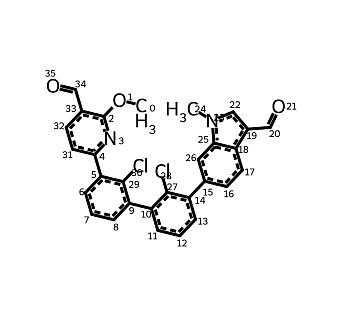 COc1nc(-c2cccc(-c3cccc(-c4ccc5c(C=O)cn(C)c5c4)c3Cl)c2Cl)ccc1C=O